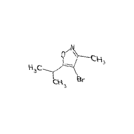 Cc1noc(C(C)C)c1Br